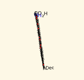 CCCCCCCCCCCCCCCCCCCCCCCCCCCCCCCCCCCCCCCCCCCCCCCCCCCCCCCCCCCCCCCCCCCCCNCC(=O)O